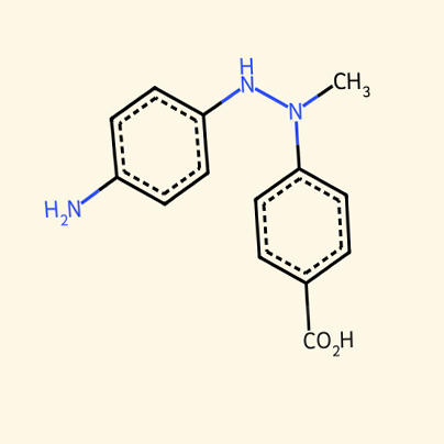 CN(Nc1ccc(N)cc1)c1ccc(C(=O)O)cc1